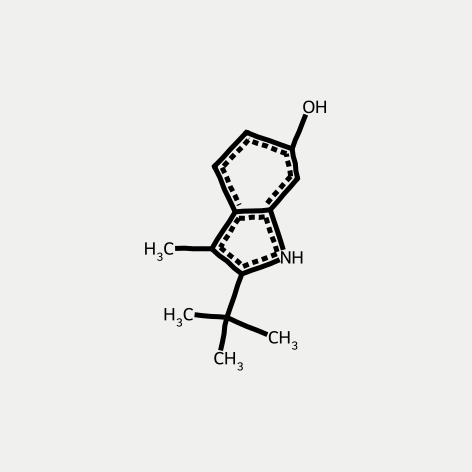 Cc1c(C(C)(C)C)[nH]c2cc(O)ccc12